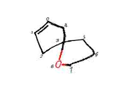 C1=CCC2(C1)CCCO2